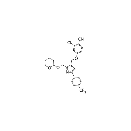 N#Cc1ccc(OCc2sc(-c3ccc(C(F)(F)F)cc3)nc2COC2CCCCO2)cc1Cl